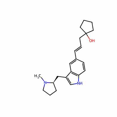 CN1CCC[C@@H]1Cc1c[nH]c2ccc(C=CCC3(O)CCCC3)cc12